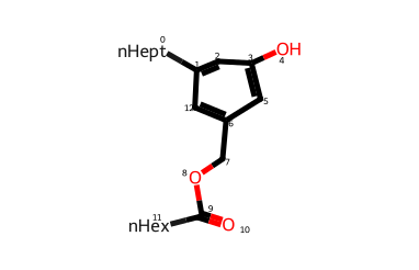 CCCCCCCc1cc(O)cc(COC(=O)CCCCCC)c1